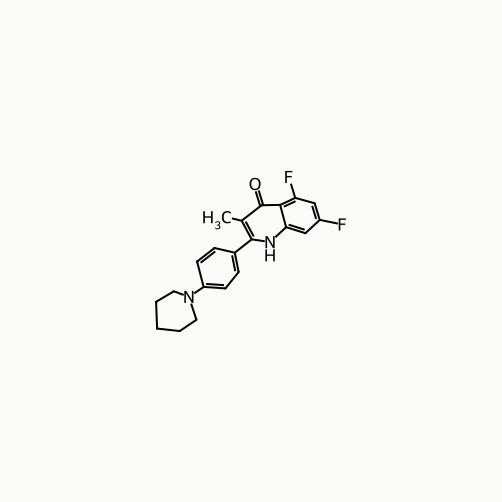 Cc1c(-c2ccc(N3CCCCC3)cc2)[nH]c2cc(F)cc(F)c2c1=O